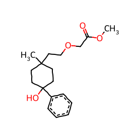 COC(=O)COCCC1(C)CCC(O)(c2ccccc2)CC1